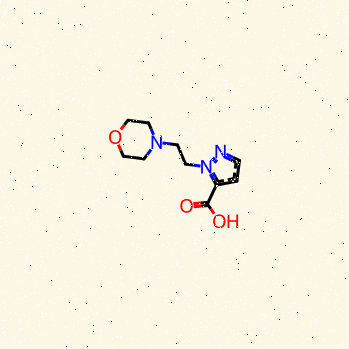 O=C(O)c1ccnn1CCN1CCOCC1